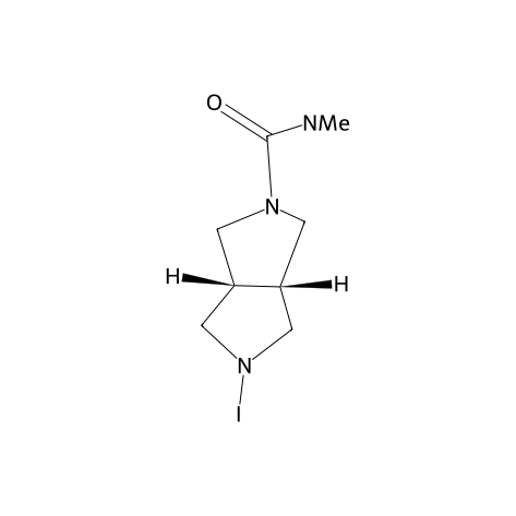 CNC(=O)N1C[C@H]2CN(I)C[C@H]2C1